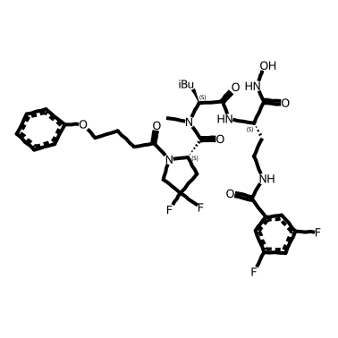 CCC(C)[C@@H](C(=O)N[C@@H](CCNC(=O)c1cc(F)cc(F)c1)C(=O)NO)N(C)C(=O)[C@@H]1CC(F)(F)CN1C(=O)CCCOc1ccccc1